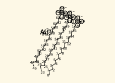 CCCCCCCCCCCCCCCCCCOP(=O)([O-])[O-].CCCCCCCCCCCCCCCCCCOP(=O)([O-])[O-].CCCCCCCCCCCCCCCCCCOP(=O)([O-])[O-].[Al+3].[Al+3]